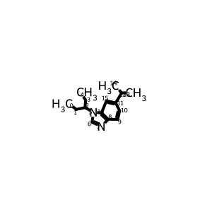 CCC(CC)n1cnc2ccc(C(C)C)cc21